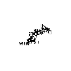 CNc1ccc2c(=O)n(-c3ccc(NC(=O)NS(=O)(=O)c4ccc(Cl)s4)cc3Cl)cc(S)c2c1